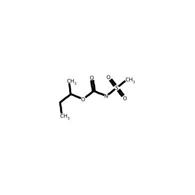 CCC(C)OC(=O)[N]S(C)(=O)=O